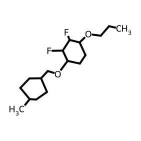 CCCOC1CCC(OCC2CCC(C)CC2)C(F)C1F